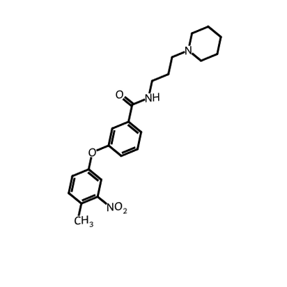 Cc1ccc(Oc2cccc(C(=O)NCCCN3CCCCC3)c2)cc1[N+](=O)[O-]